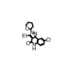 CCc1c2c(=O)[nH]c3ccc(Cl)cc3c2nn1C1CCCCO1